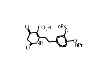 CCCOc1ccc(CCC2=C(C(=O)O)C(=O)CC(=O)N2)cc1OCCC